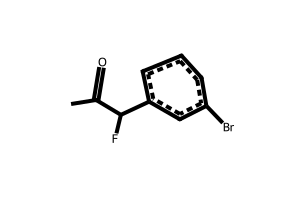 CC(=O)C(F)c1cccc(Br)c1